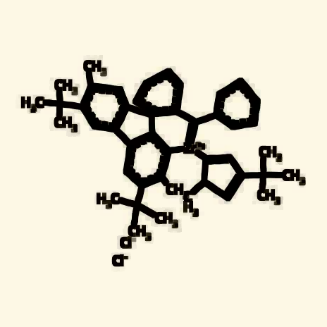 Cc1cc2c(cc1C(C)(C)C)-c1cc(C(C)(C)C)c(C)[c]([Zr+2]([C]3=CC(C(C)(C)C)=CC3C)=[C](c3ccccc3)c3ccccc3)c1C2.[Cl-].[Cl-]